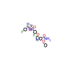 NC(=O)c1cc2c(Oc3ccc(NC(=O)C4(C(=O)Nc5ccc(F)cc5)CC4)cc3F)ccnc2cc1OCc1ccccc1